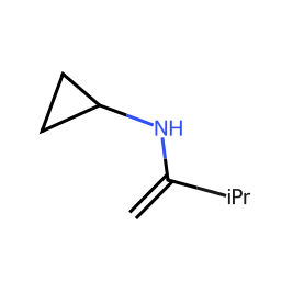 C=C(NC1CC1)C(C)C